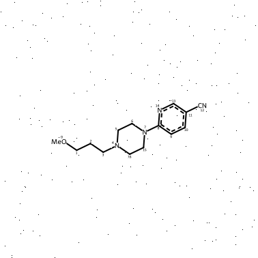 COCCCN1CCN(c2ccc(C#N)cn2)CC1